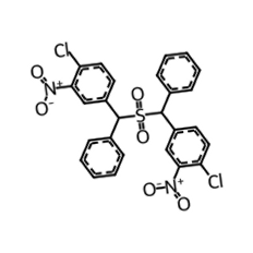 O=[N+]([O-])c1cc(C(c2ccccc2)S(=O)(=O)C(c2ccccc2)c2ccc(Cl)c([N+](=O)[O-])c2)ccc1Cl